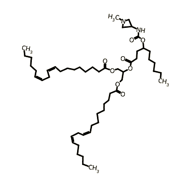 CCCCC/C=C\C/C=C\CCCCCCCC(=O)OCC(COC(=O)CCCCCCC/C=C\C/C=C\CCCCC)OC(=O)CCC(CCCCCC)OC(=O)NC1CN(C)C1